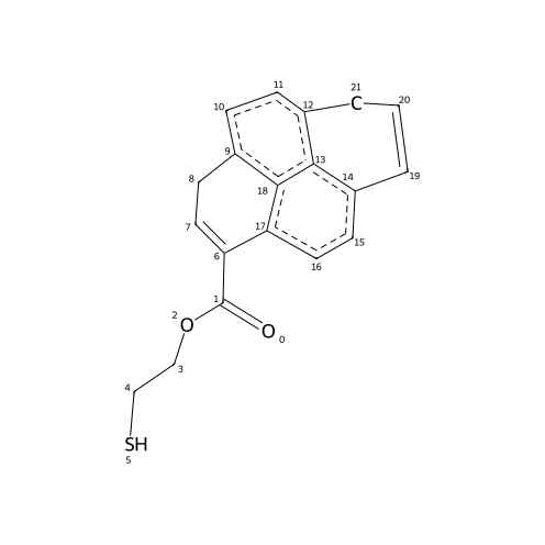 O=C(OCCS)C1=CCc2ccc3c4c(ccc1c24)C=CC3